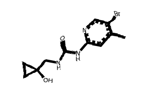 Cc1cc(NC(=O)NCC2(O)CC2)ncc1Br